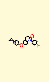 O=C1CCc2cc(OC3CCN(C4CC4)CC3)ccc2N1c1ccc(F)cc1